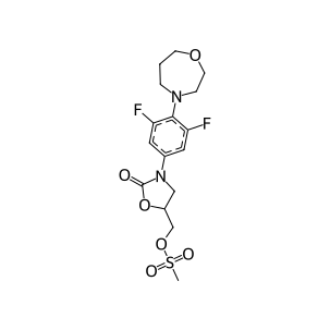 CS(=O)(=O)OCC1CN(c2cc(F)c(N3CCCOCC3)c(F)c2)C(=O)O1